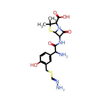 CC1(C)SC2C(NC(=O)C(N)c3ccc(O)c(CSC=NN)c3)C(=O)N2C1C(=O)O